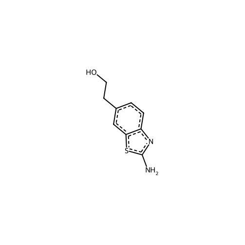 Nc1nc2ccc(CCO)cc2s1